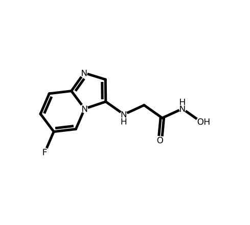 O=C(CNc1cnc2ccc(F)cn12)NO